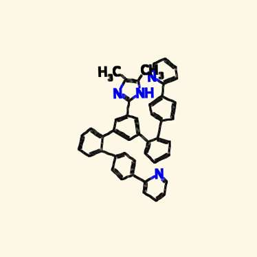 Cc1nc(-c2cc(-c3ccccc3-c3ccc(-c4ccccn4)cc3)cc(-c3ccccc3-c3ccc(-c4ccccn4)cc3)c2)[nH]c1C